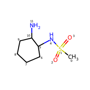 CS(=O)(=O)NC1CCCCC1N